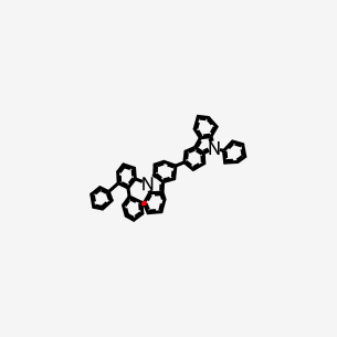 c1ccc(-c2cccc(-n3c4ccccc4c4cc(-c5ccc6c(c5)c5ccccc5n6-c5ccccc5)ccc43)c2-c2ccccc2)cc1